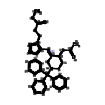 COC(=O)CCn1nncc1/C=C1\CN(C(c2ccccc2)(c2ccccc2)c2ccccc2)CCC1SC(C)=O